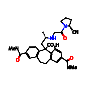 CNC(=O)c1ccc2c(c1)CCc1cc(C(=O)NC)ccc1C2(C[C@H](C)NCC(=O)N1CCC[C@H]1C#N)C(=O)O